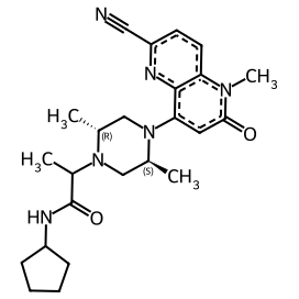 CC(C(=O)NC1CCCC1)N1C[C@H](C)N(c2cc(=O)n(C)c3ccc(C#N)nc23)C[C@H]1C